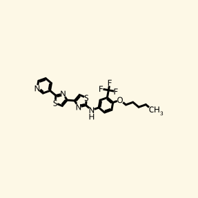 CCCCCOc1ccc(Nc2nc(-c3csc(-c4cccnc4)n3)cs2)cc1C(F)(F)F